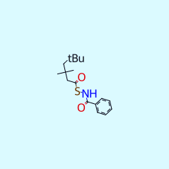 CC(C)(C)CC(C)(C)CC(=O)SNC(=O)c1ccccc1